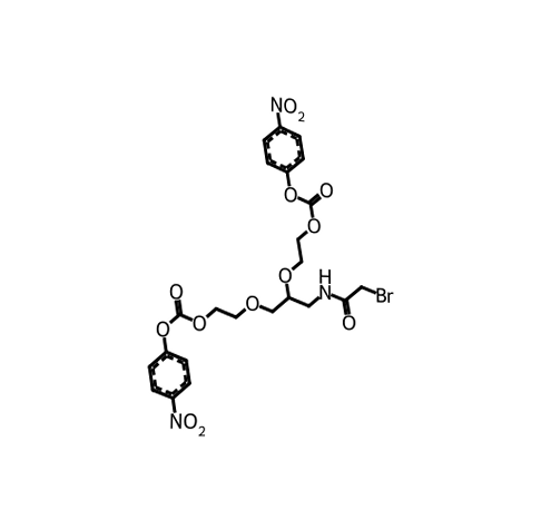 O=C(CBr)NCC(COCCOC(=O)Oc1ccc([N+](=O)[O-])cc1)OCCOC(=O)Oc1ccc([N+](=O)[O-])cc1